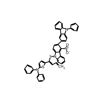 C=C/C=C(\Sn1c2ccccc2c2c([N+](=O)[O-])c(-c3ccc4c(c3)c3ccccc3n4-c3ccccc3)ccc21)c1ccc(N(c2ccccc2)c2ccccc2)s1